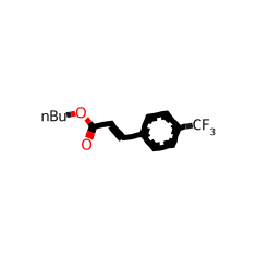 CCCCOC(=O)/C=C/c1ccc(C(F)(F)F)cc1